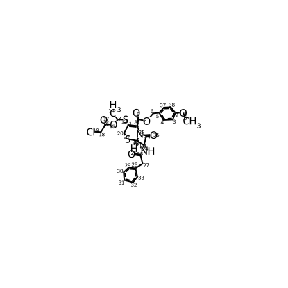 COc1ccc(COC(=O)C2=C(SC(C)OC(=O)CCl)CS[C@@H]3[C@H](NC(=O)Cc4ccccc4)C(=O)N23)cc1